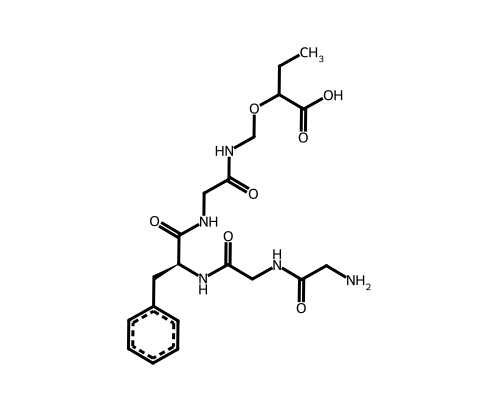 CCC(OCNC(=O)CNC(=O)[C@H](Cc1ccccc1)NC(=O)CNC(=O)CN)C(=O)O